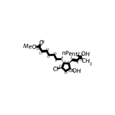 CCCCCC(C)(O)/C=C/[C@@H]1[C@@H](CCCCC=CC(=O)OC)[C@H](Cl)C[C@H]1O